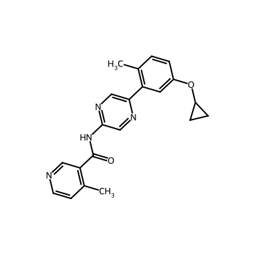 Cc1ccncc1C(=O)Nc1cnc(-c2cc(OC3CC3)ccc2C)cn1